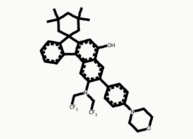 CC1(C)CC(C)(C)CC2(C1)c1ccccc1-c1c2cc(O)c2cc(-c3ccc(N4CCOCC4)cc3)c(N(CC(F)(F)F)CC(F)(F)F)cc12